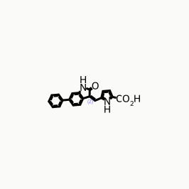 O=C1Nc2cc(-c3ccccc3)ccc2/C1=C/c1ccc(C(=O)O)[nH]1